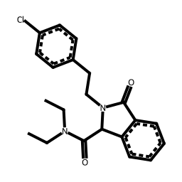 CCN(CC)C(=O)C1c2ccccc2C(=O)N1CCc1ccc(Cl)cc1